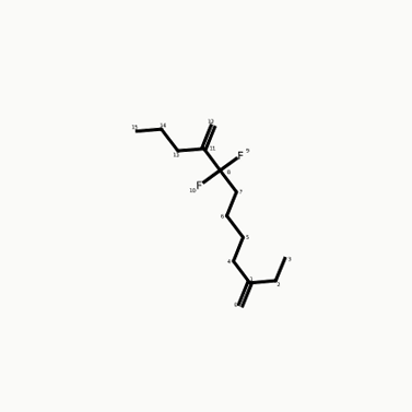 C=C(CC)CCCCC(F)(F)C(=C)CCC